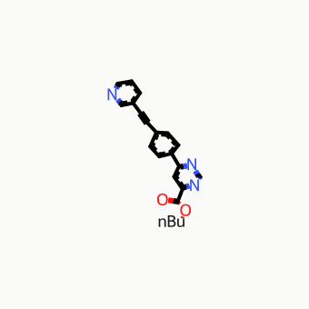 CCCCOC(=O)c1cc(-c2ccc(C#Cc3cccnc3)cc2)ncn1